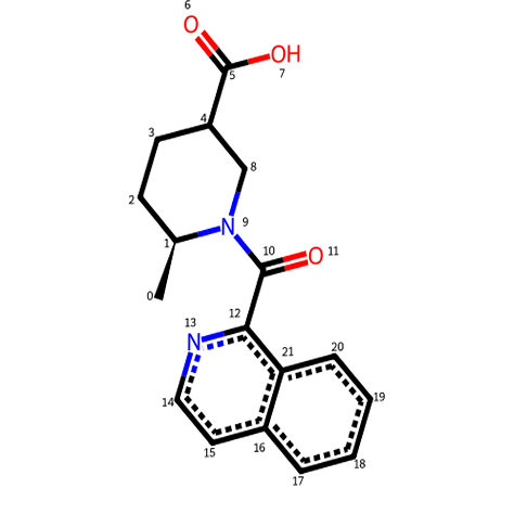 C[C@H]1CCC(C(=O)O)CN1C(=O)c1nccc2ccccc12